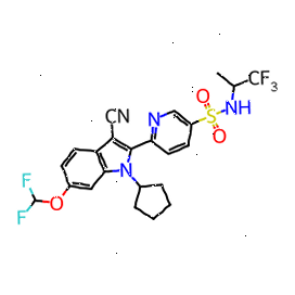 CC(NS(=O)(=O)c1ccc(-c2c(C#N)c3ccc(OC(F)F)cc3n2C2CCCC2)nc1)C(F)(F)F